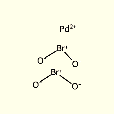 [O-][Br+][O-].[O-][Br+][O-].[Pd+2]